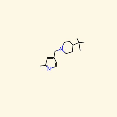 Cc1cc(CN2CCC(C(C)(C)C)CC2)ccn1